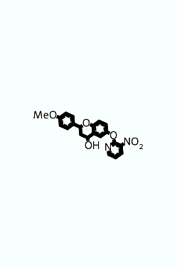 COc1ccc(C2CC(O)c3cc(Oc4ncccc4[N+](=O)[O-])ccc3O2)cc1